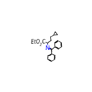 CCOC(=O)C(CCC1CC1)N=C(c1ccccc1)c1ccccc1